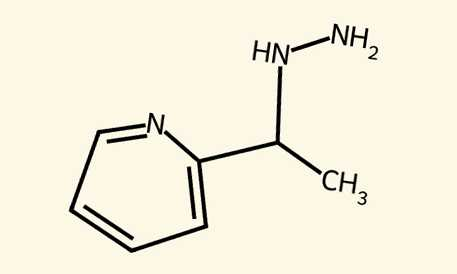 CC(NN)c1ccccn1